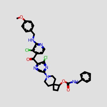 COc1ccc(CNc2nccc(C(=O)c3ncc(N4CCC5(CCC5OC(=O)NCc5ccccc5)CC4)nc3Cl)c2Cl)cc1